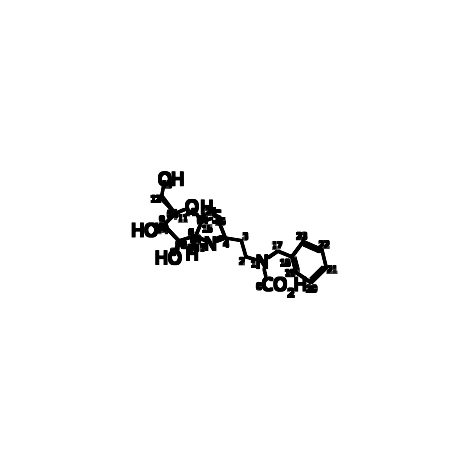 O=C(O)N(CCC1=N[C@@H]2[C@@H](O)[C@H](O)[C@@H](CO)O[C@@H]2S1)Cc1ccccc1